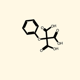 O=C(O)C(Oc1ccccc1)(C(=O)O)C(=O)O